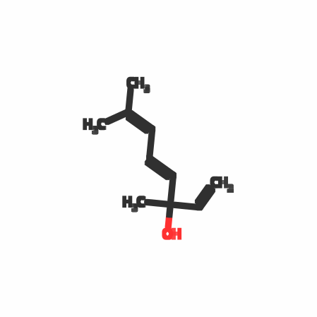 C=CC(C)(O)C=CC=C(C)C